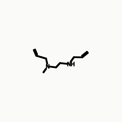 C=CCNCCN(C)CC=C